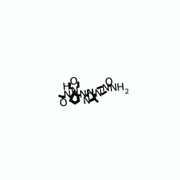 CC(=O)Nc1cccc(Nc2ncc(C)c(N3CCN(C(N)=O)CC3)n2)c1N1CCOCC1